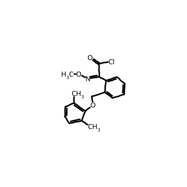 CON=C(C(=O)Cl)c1ccccc1COc1c(C)cccc1C